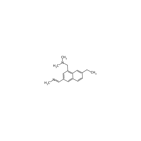 CCc1ccc2cc(/C=N/C)cc(CN(C)C)c2c1